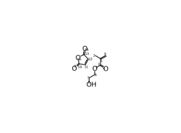 C=C(C)C(=O)OCCO.O=C1C=CC(=O)O1